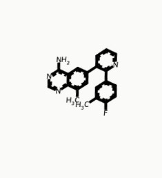 Cc1cc(-c2ncccc2-c2cc(C)c3ncnc(N)c3c2)ccc1F